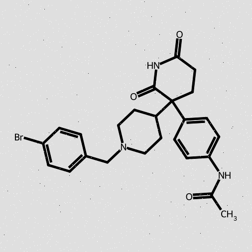 CC(=O)Nc1ccc(C2(C3CCN(Cc4ccc(Br)cc4)CC3)CCC(=O)NC2=O)cc1